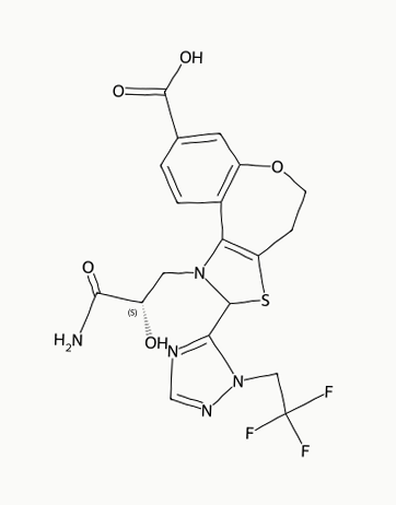 NC(=O)[C@@H](O)CN1C2=C(CCOc3cc(C(=O)O)ccc32)SC1c1ncnn1CC(F)(F)F